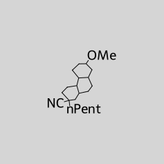 CCCCCC1(C#N)CCC2C(CCC3CC(OC)CCC32)C1